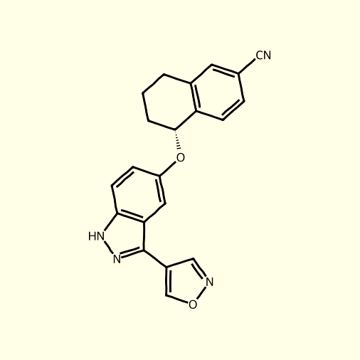 N#Cc1ccc2c(c1)CCC[C@H]2Oc1ccc2[nH]nc(-c3cnoc3)c2c1